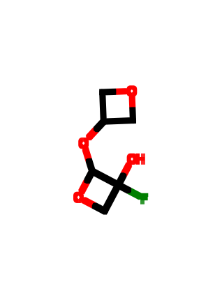 OC1(F)COC1OC1COC1